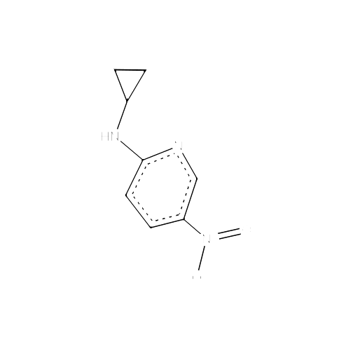 O=[N+]([O-])c1ccc(NC2CC2)nc1